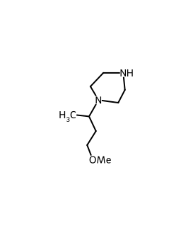 COCCC(C)N1CCNCC1